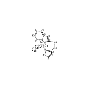 C1=CC2=[C](C1)[Zr+2][CH]1C(=Cc3ccccc31)CC2.[Cl-].[Cl-]